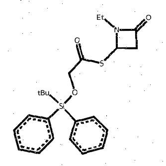 CCN1C(=O)CC1SC(=O)CO[Si](c1ccccc1)(c1ccccc1)C(C)(C)C